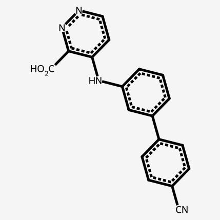 N#Cc1ccc(-c2cccc(Nc3ccnnc3C(=O)O)c2)cc1